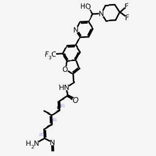 C=N\C(N)=C/C=C(C)/C=C/C(=O)NCc1cc2cc(-c3ccc(C(O)N4CCC(F)(F)CC4)cn3)cc(C(F)(F)F)c2o1